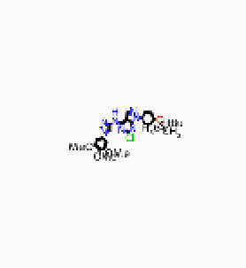 COc1cc(-n2cnc(Nc3nc(Cl)nc4c3cnn4C3CCC(O[Si](C)(C)C(C)(C)C)CC3)c2)cc(OC)c1OC